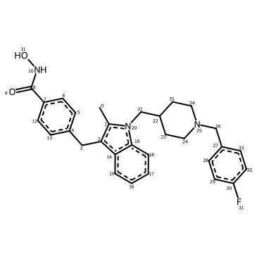 Cc1c(Cc2ccc(C(=O)NO)cc2)c2ccccc2n1CC1CCN(Cc2ccc(F)cc2)CC1